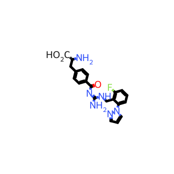 NC(=NC(=O)c1ccc(CC(N)C(=O)O)cc1)NCc1c(F)cccc1-n1cccn1